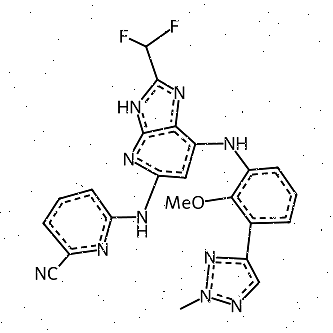 COc1c(Nc2cc(Nc3cccc(C#N)n3)nc3[nH]c(C(F)F)nc23)cccc1-c1cnn(C)n1